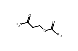 NC(=O)CCOC(N)=O